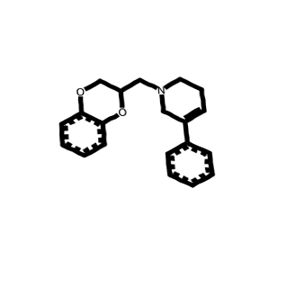 C1=C(c2ccccc2)CN(CC2COc3ccccc3O2)CC1